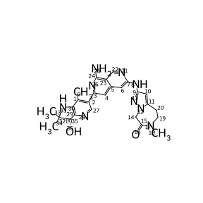 Cc1c(-c2cc3cc(Nc4cc5n(n4)CC(=O)N(C)CC5)ncc3c(N)n2)cnc2c1NC(C)(C)[C@H]2O